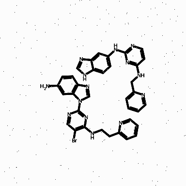 Nc1ccc2ncn(-c3ncc(Br)c(NCCc4ccccn4)n3)c2c1.c1ccc(CNc2ccnc(Nc3ccc4[nH]cnc4c3)n2)nc1